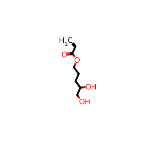 C=CC(=O)OCCCC(O)CO